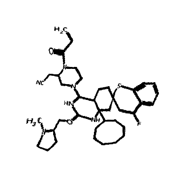 C=CC(=O)N1CCN(C2NC(OCC3CCCN3C)NC3(C4CCCCCCC4)C[C@]4(CCC23)CC(F)c2ccccc2S4)CC1CC#N